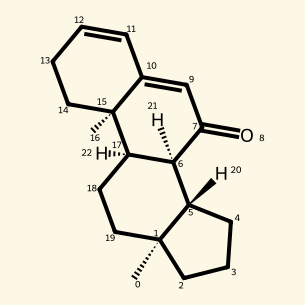 C[C@@]12CCC[C@H]1[C@@H]1C(=O)C=C3C=CCC[C@]3(C)[C@@H]1CC2